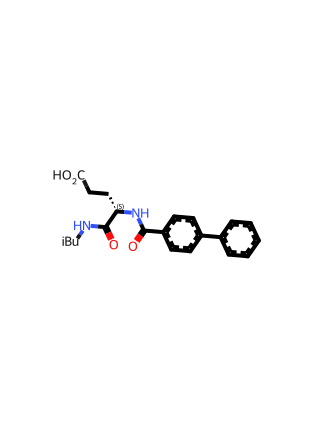 CCC(C)NC(=O)[C@H](CCC(=O)O)NC(=O)c1ccc(-c2ccccc2)cc1